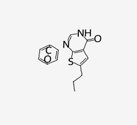 CCCc1cc2c(=O)[nH]cnc2s1.c1cc2ccc1CO2